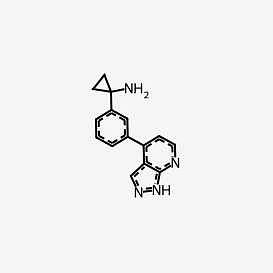 NC1(c2cccc(-c3ccnc4[nH]ncc34)c2)CC1